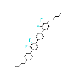 C=CCCC1CCC(c2ccc(-c3ccc(-c4ccc(CCCCC)c(F)c4F)cc3)c(F)c2F)CC1